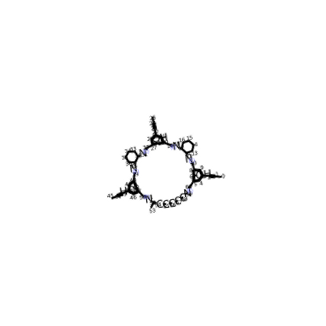 CC#Cc1cc2c(O)c(c1)/C=N/C1CCCCC1/N=C/c1cc(C#CC)cc(c1O)/C=N/C1CCCCC1/N=C/c1cc(C#CC)cc(c1O)/C=N/C(C)CCCCC/N=C/2